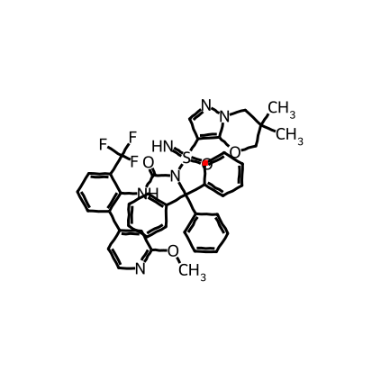 COc1cc(-c2cccc(C(F)(F)F)c2NC(=O)N(C(c2ccccc2)(c2ccccc2)c2ccccc2)S(=N)(=O)c2cnn3c2OCC(C)(C)C3)ccn1